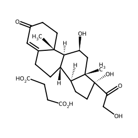 C[C@]12CCC(=O)C=C1CC[C@@H]1[C@@H]2[C@@H](O)C[C@@]2(C)[C@H]1CC[C@]2(O)C(=O)CO.O=C(O)CCC(=O)O